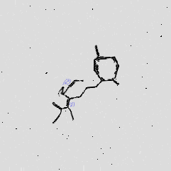 C=C(C)/C(C)=C(CCCc1cc(C)ccc1C)\N=C/C